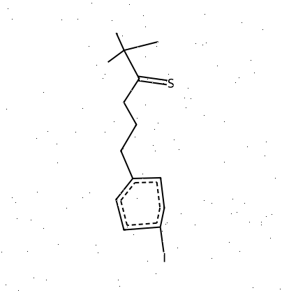 CC(C)(C)C(=S)CCCc1ccc(I)cc1